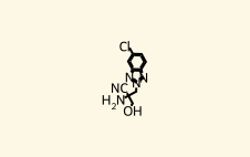 N#CC(N)(CO)Cn1nc2ccc(Cl)cc2n1